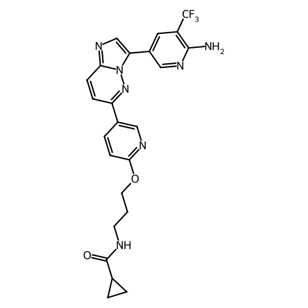 Nc1ncc(-c2cnc3ccc(-c4ccc(OCCCNC(=O)C5CC5)nc4)nn23)cc1C(F)(F)F